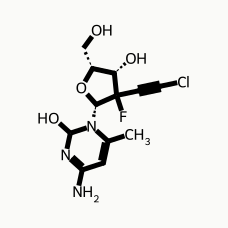 CC1=CC(N)=NC(O)N1[C@@H]1O[C@H](CO)[C@H](O)C1(F)C#CCl